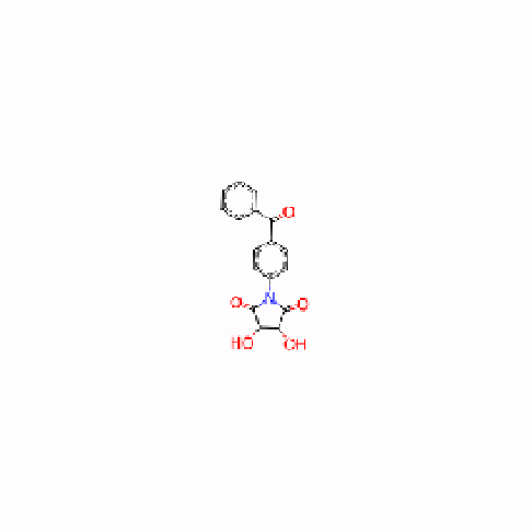 O=C(c1ccccc1)c1ccc(N2C(=O)C(O)C(O)C2=O)cc1